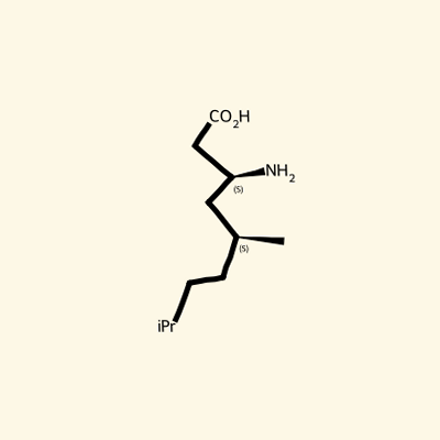 CC(C)CC[C@H](C)C[C@H](N)CC(=O)O